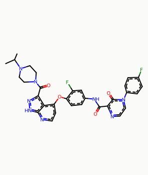 CC(C)N1CCN(C(=O)c2n[nH]c3nccc(Oc4ccc(NC(=O)c5nccn(-c6ccc(F)cc6)c5=O)cc4F)c23)CC1